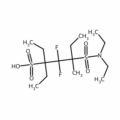 CCN(CC)S(=O)(=O)C(C)(CC)C(F)(F)C(CC)(CC)S(=O)(=O)O